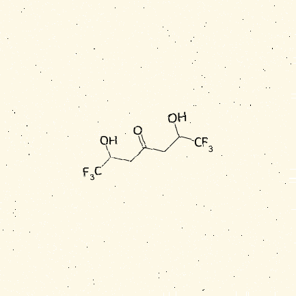 O=C(CC(O)C(F)(F)F)CC(O)C(F)(F)F